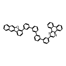 c1cc(-c2cccc(-c3cccc(-c4cccc5c4oc4cc6ccccc6cc45)c3)c2)cc(-c2cccc(-c3cnc4c5ccccc5c5ccccc5c4n3)c2)c1